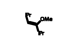 CO/C(=C\C(C)C)C(C)C